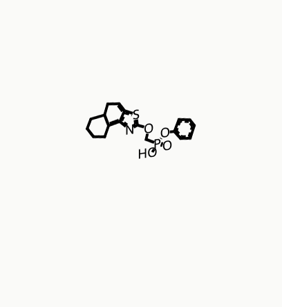 O=P(O)(COc1nc2c(s1)=CCC1CCCCC=21)Oc1ccccc1